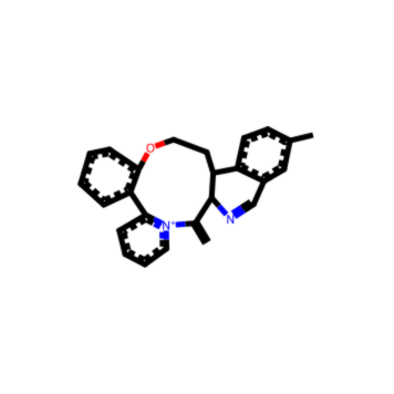 C=C1C2N=Cc3cc(C)ccc3C2CCOc2ccccc2-c2cccc[n+]21